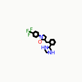 O=C1C(Cc2ccccc2C2CNCCN2)CCN1c1ccc(C(F)(F)F)cc1